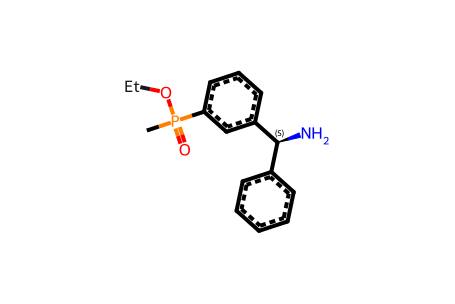 CCOP(C)(=O)c1cccc([C@@H](N)c2ccccc2)c1